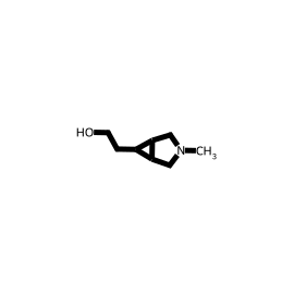 CN1CC2C(CCO)C2C1